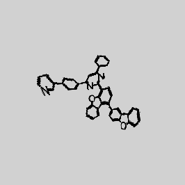 c1ccc(-c2cc(-c3ccc(-c4cccnc4)cc3)nc(-c3ccc(-c4ccc5oc6ccccc6c5c4)c4c3oc3ccccc34)n2)cc1